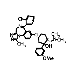 COc1cccc([C@@]2(O)CCCC[C@@H]2CN(C)C)c1.Cc1nnc2n1-c1ccc(Cl)cc1C(c1ccccc1Cl)=NC2